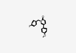 COc1ccc(-c2ccc(=O)n(Cc3ccc(F)cc3)c2)cc1